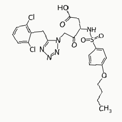 CCCCOc1ccc(S(=O)(=O)NC(CC(=O)O)C(=O)Cn2nnnc2Cc2c(Cl)cccc2Cl)cc1